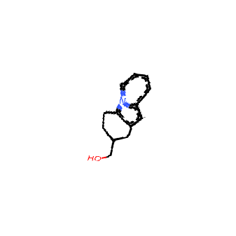 OCC1CCc2c([c]c3ccccn23)C1